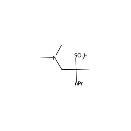 CCCC(C)(CN(C)C)S(=O)(=O)O